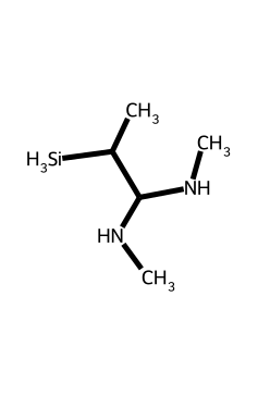 CNC(NC)C(C)[SiH3]